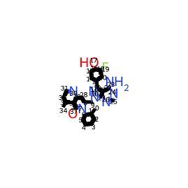 Cc1ccccc1-n1c(Cn2nc(-c3ccc(O)c(F)c3)c3c(N)ncnc32)cc2nccc(C)c2c1=O